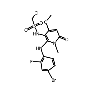 COc1cc(=O)n(C)c(Nc2ccc(Br)cc2F)c1NS(=O)(=O)CCl